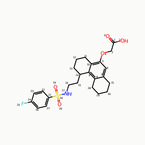 O=C(O)COc1cc2c(c3c1CCCC3CCNS(=O)(=O)c1ccc(F)cc1)CCCC2